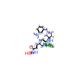 CN(C)c1cccc(CN2CC[C@@H](Nc3cnc(/C=C/C(=O)NO)cn3)C2)c1.Cl.Cl.Cl